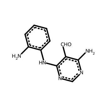 Nc1ccccc1Nc1ncnc(N)c1C=O